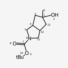 CC1(O)CC2CN(C(=O)OC(C)(C)C)CC2C1